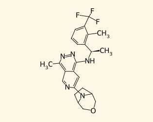 Cc1c([C@@H](C)Nc2nnc(C)c3cnc(N4C5CCC4COC5)cc23)cccc1C(F)(F)F